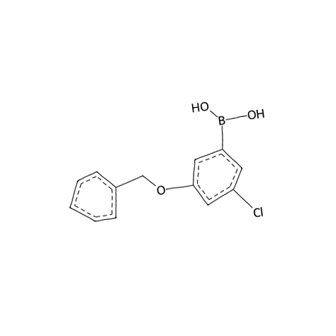 OB(O)c1cc(Cl)cc(OCc2ccccc2)c1